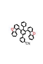 N#Cc1cccc(-c2cc(-c3cccc4oc5ccccc5c34)c(-c3ccccc3)c(-c3cccc4oc5ccccc5c34)c2)c1